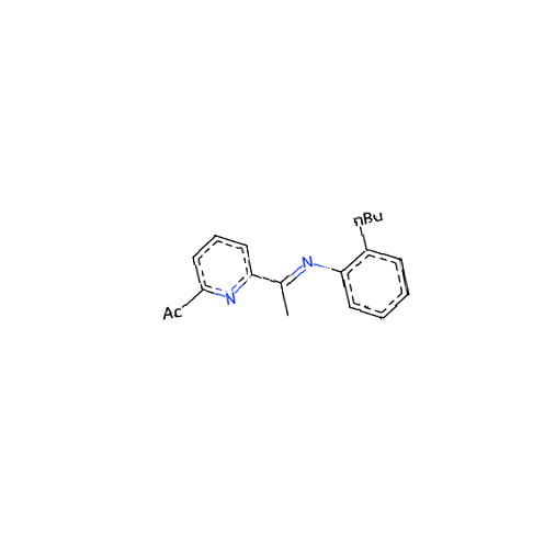 CCCCc1ccccc1/N=C(\C)c1cccc(C(C)=O)n1